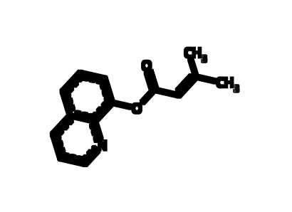 CC(C)=CC(=O)Oc1cccc2cccnc12